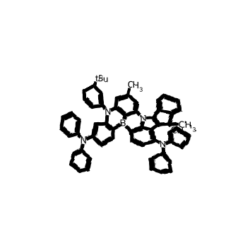 Cc1cc2c3c(c1)-n1c4c(c5c(N(c6ccccc6)c6ccccc6)ccc(c51)B3c1ccc(N(c3ccccc3)c3ccccc3)cc1N2C1=CC(C(C)(C)C)CC=C1)C(C)(C)c1ccccc1-4